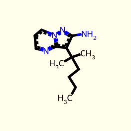 CCCCC(C)(C)c1c(N)nn2cccnc12